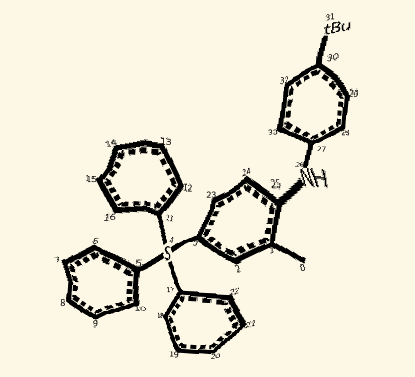 Cc1cc(S(c2ccccc2)(c2ccccc2)c2ccccc2)ccc1Nc1ccc(C(C)(C)C)cc1